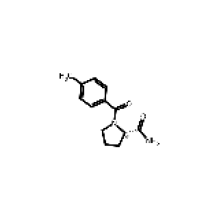 Cc1ccc(C(=O)N2CCC[C@H]2C(N)=O)cc1